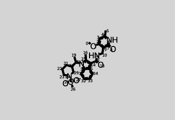 COc1cc(C)[nH]c(=O)c1CNC(=O)c1c(C)n(C(C)C2CCCN(S(C)(=O)=O)C2)c2ccccc12